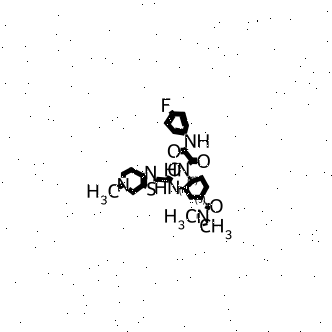 CN1CCc2nc(C(=O)N[C@@H]3C[C@@H](C(=O)N(C)C)CC[C@@H]3NC(=O)C(=O)Nc3ccc(F)cc3)sc2C1